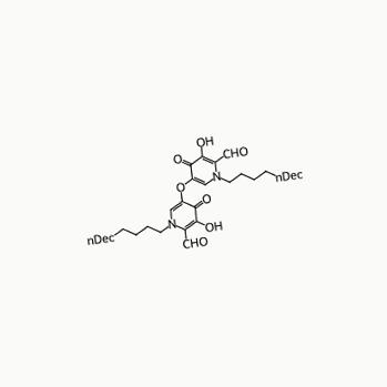 CCCCCCCCCCCCCCn1cc(Oc2cn(CCCCCCCCCCCCCC)c(C=O)c(O)c2=O)c(=O)c(O)c1C=O